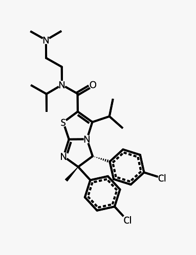 CC(C)C1=C(C(=O)N(CCN(C)C)C(C)C)SC2=N[C@@](C)(c3ccc(Cl)cc3)[C@@H](c3ccc(Cl)cc3)N21